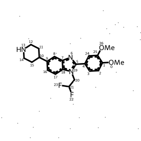 COc1ccc(-c2nc3cc(C4CCNCC4)ccc3n2CC(F)F)cc1OC